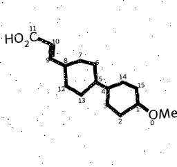 COC1CCC(C2CCC(/C=C/C(=O)O)CC2)CC1